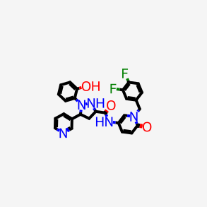 O=C(Nc1ccc(=O)n(Cc2ccc(F)c(F)c2)c1)C1CC(c2cccnc2)N(c2ccccc2O)N1